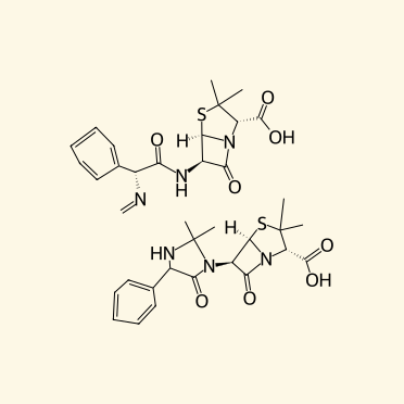 C=N[C@@H](C(=O)N[C@@H]1C(=O)N2[C@@H]1SC(C)(C)[C@@H]2C(=O)O)c1ccccc1.CC1(C)S[C@@H]2[C@H](N3C(=O)C(c4ccccc4)NC3(C)C)C(=O)N2[C@H]1C(=O)O